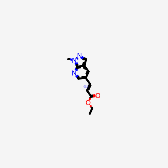 CCOC(=O)/C=C/c1cnc2c(cnn2C)c1